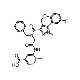 Cn1nc(C(=O)N(CC(=O)NC2=CC(C(=O)O)=CCC2F)Cc2ccccc2)c2c1-c1cc(F)ccc1OC2